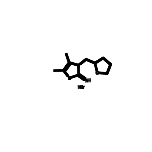 Br.Cc1sc(=N)n(CC2CCCO2)c1C